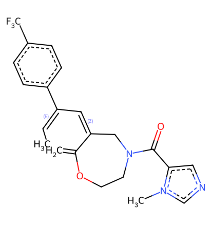 C=C1OCCN(C(=O)c2cncn2C)C/C1=C/C(=C\C)c1ccc(C(F)(F)F)cc1